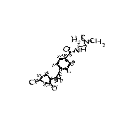 CN(C)CCNC(=O)c1ccc(C2C[C@H]2c2ccc(Cl)cc2Cl)cc1